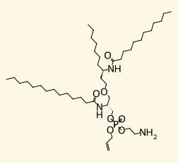 C=CCOP(=O)(OCCN)OC[C@@H](COCC[C@@H](CCCCCCC)NC(=O)CCCCCCCCCCC)NC(=O)CCCCCCCCCCCCC